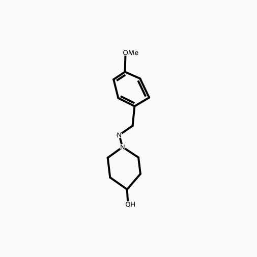 COc1ccc(C[N]N2CCC(O)CC2)cc1